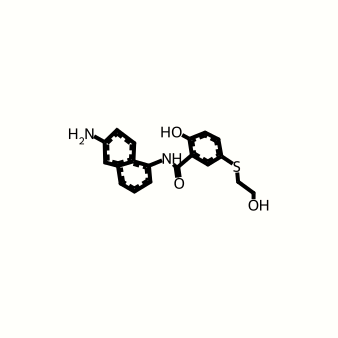 Nc1ccc2c(NC(=O)c3cc(SCCO)ccc3O)cccc2c1